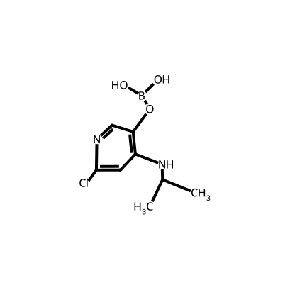 CC(C)Nc1cc(Cl)ncc1OB(O)O